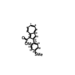 COC(=O)c1c2cccccc-2cc1-c1ccc(SC)cc1